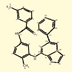 Cc1ccc(NC(=O)c2cccc(C(F)(F)F)c2)cc1Nc1nc(-c2ccncc2)cn2ccnc12